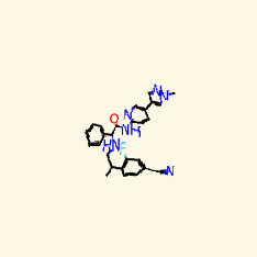 CC(CN[C@H](C(=O)Nc1ccc(-c2cnn(C)c2)cn1)c1ccccc1)c1ccc(C#N)cc1F